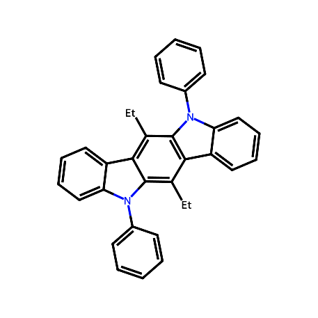 CCc1c2c3ccccc3n(-c3ccccc3)c2c(CC)c2c3ccccc3n(-c3ccccc3)c12